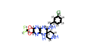 FC1(F)Oc2nc3c(nc2O1)NC1(CCNCC1)C(NCc1cccc(Cl)c1)=N3